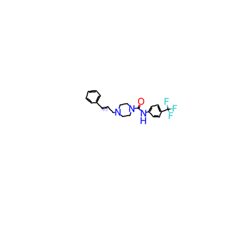 O=C(Nc1ccc(C(F)(F)F)cc1)N1CCN(C/C=C/c2ccccc2)CC1